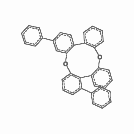 c1ccc(-c2ccc3c(c2)Oc2cccc(-c4ccccc4)c2-c2ccccc2Oc2ccccc2-3)cc1